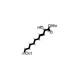 CCCCCCCCCCCCCC/C=C/[C@@H](O)C(=O)OC